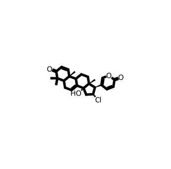 CC1(C)C(=O)C=C[C@]2(C)C3CC[C@]4(C)[C@@H](c5ccc(=O)oc5)[C@@H](Cl)C[C@]4(O)C3=CCC12